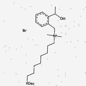 CCCCCCCCCCCCCCCCCC[N+](C)(C)Cc1ccccc1C(C)O.[Br-]